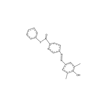 Cc1cc(/N=N/c2ccc(C(=O)Sc3ccccc3)nc2)cc(C)c1O